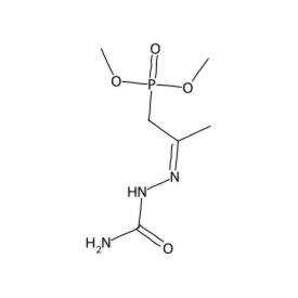 COP(=O)(C/C(C)=N\NC(N)=O)OC